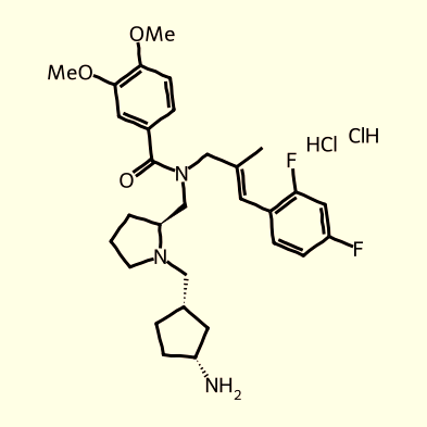 COc1ccc(C(=O)N(CC(C)=Cc2ccc(F)cc2F)C[C@@H]2CCCN2C[C@H]2CC[C@@H](N)C2)cc1OC.Cl.Cl